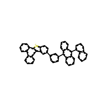 c1cc(-c2ccc3sc4c5ccccc5c5ccccc5c4c3c2)cc(-c2c3ccccc3c(-c3cccc4ccccc34)c3ccccc23)c1